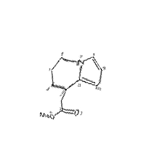 COC(=O)C1CCCn2cccc21